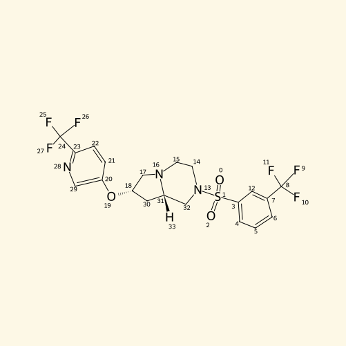 O=S(=O)(c1cccc(C(F)(F)F)c1)N1CCN2C[C@@H](Oc3ccc(C(F)(F)F)nc3)C[C@H]2C1